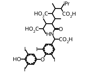 CC(C)C(C(=O)O)C(C)C(C(=O)O)C(C)C(C(=O)NC(C(=O)O)c1cc(I)c(Oc2cc(I)c(O)c(I)c2)c(I)c1)C(C)C(C)C(=O)O